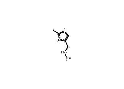 Cc1nc(CNC(C)(C)C)cs1